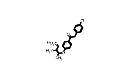 CC(CC(=O)O)C(C)Oc1ccc(C(=O)Cc2ccc(Cl)cc2)cc1